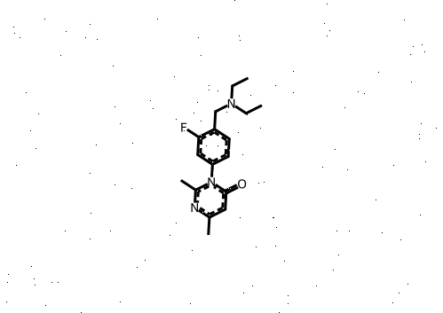 CCN(CC)Cc1ccc(-n2c(C)nc(C)cc2=O)cc1F